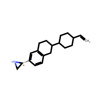 C=CC1CCC(C2CCc3cc([C@@H]4CN4)ccc3C2)CC1